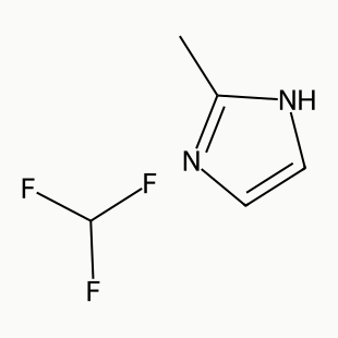 Cc1ncc[nH]1.FC(F)F